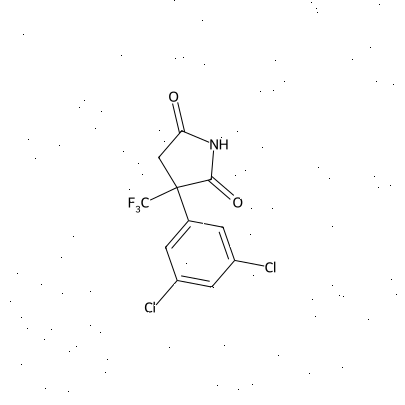 O=C1CC(c2cc(Cl)cc(Cl)c2)(C(F)(F)F)C(=O)N1